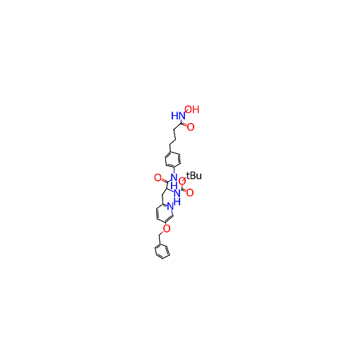 CC(C)(C)OC(=O)NC(Cc1ccc(OCc2ccccc2)cn1)C(=O)Nc1ccc(CCCC(=O)NO)cc1